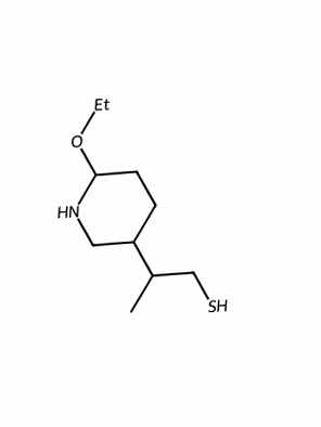 [CH2]COC1CCC(C(C)CS)CN1